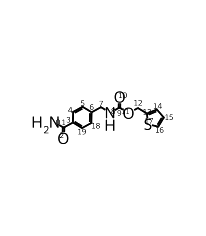 NC(=O)c1ccc(CNC(=O)OCc2cccs2)cc1